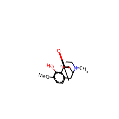 COc1ccc2c(c1O)[C@]13CCN(C)C(C2)C1=CCC(=O)C3